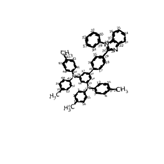 Cc1ccc(N(c2ccc(C)cc2)c2cc(-c3ccc(-c4nc5ccccc5n4-c4ccccc4)cc3)cc(N(c3ccc(C)cc3)c3ccc(C)cc3)c2)cc1